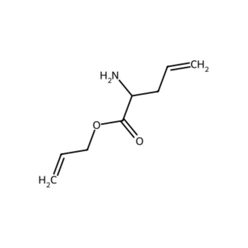 C=CCOC(=O)C(N)CC=C